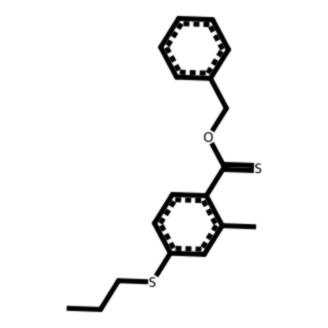 CCCSc1ccc(C(=S)OCc2ccccc2)c(C)c1